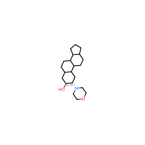 O[C@H]1CC2CCC3C4CCCC4CCC3C2C[C@@H]1N1CCOCC1